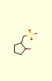 CS(=O)(=O)CC1CCCC1O